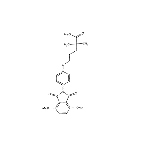 COC(=O)C(C)(C)CCCOc1ccc(N2C(=O)c3c(OC)ccc(OC)c3C2=O)cc1